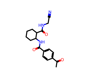 CC(=O)c1ccc(C(=O)NC2CCCCC2C(=O)NCC#N)cc1